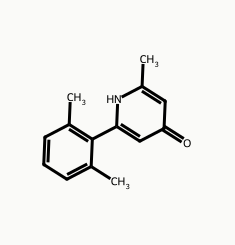 Cc1cc(=O)cc(-c2c(C)cccc2C)[nH]1